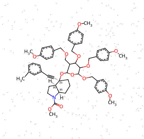 COC(=O)N1CC[C@@H]2[C@H]1CCC[C@]2(C#Cc1cccc(C)c1)OC1OC(OCc2ccc(OC)cc2)C(OCc2ccc(OC)cc2)C(OCc2ccc(OC)cc2)C1COCc1ccc(OC)cc1